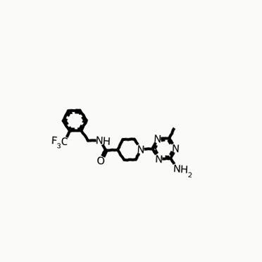 Cc1nc(N)nc(N2CCC(C(=O)NCc3ccccc3C(F)(F)F)CC2)n1